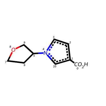 O=C(O)c1ccn(C2CCOC2)c1